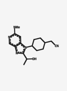 CNc1cc2c(cn1)nc(C(C)O)n2C1CCC(CC#N)CC1